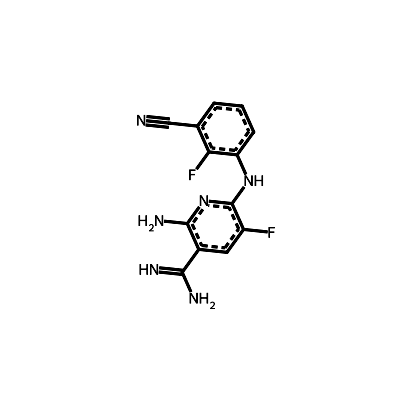 N#Cc1cccc(Nc2nc(N)c(C(=N)N)cc2F)c1F